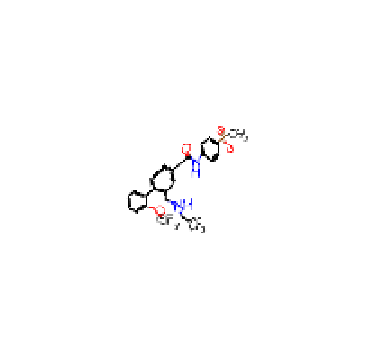 CS(=O)(=O)c1ccc(NC(=O)c2ccc(-c3ccccc3OC(F)(F)F)c(CNCC(F)(F)F)c2)cc1